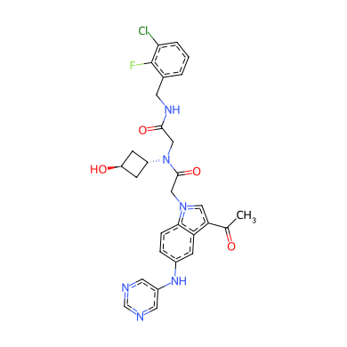 CC(=O)c1cn(CC(=O)N(CC(=O)NCc2cccc(Cl)c2F)[C@H]2C[C@H](O)C2)c2ccc(Nc3cncnc3)cc12